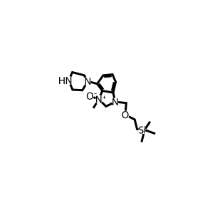 C[N+]1([O-])CN(COCC[Si](C)(C)C)c2cccc(N3CCNCC3)c21